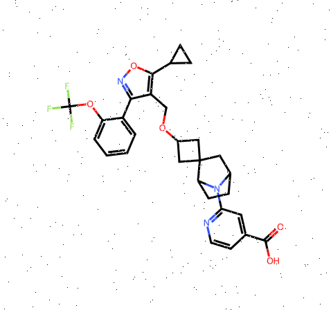 O=C(O)c1ccnc(N2C3CCC2C2(CC(OCc4c(-c5ccccc5OC(F)(F)F)noc4C4CC4)C2)C3)c1